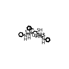 O=C(NNC(=S)Nc1ccccc1)[C@H](S)[C@@H](Cc1ccccc1)C(=O)NNC(=S)NC1=CCCC=C1